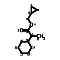 CC(C(=O)OCC1CC1)C1CCCCC1